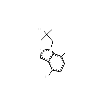 CC(C)(O)Cn1ncc2c(Br)ccc(F)c21